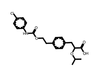 CC(C)OC(Cc1ccc(CCOC(=O)Nc2ccc(Cl)cc2)cc1)C(=O)O